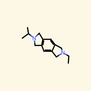 CCN1Cc2cc3c(cc2C1)CN(C(C)C)C3